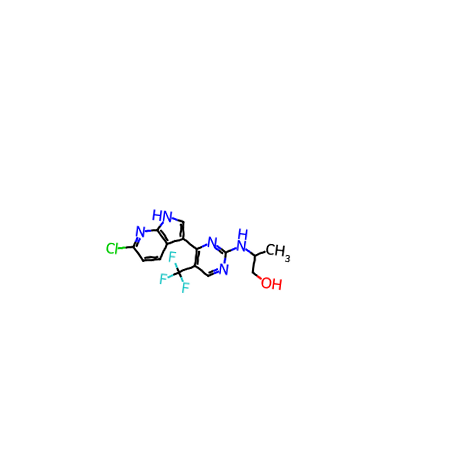 CC(CO)Nc1ncc(C(F)(F)F)c(-c2c[nH]c3nc(Cl)ccc23)n1